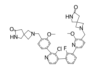 COc1cc(-c2nccc(-c3cccc(-c4ccc(CN5CC6(CNC(=O)C6)C5)c(OC)n4)c3F)c2Cl)ccc1CN1CC2(CNC(=O)C2)C1